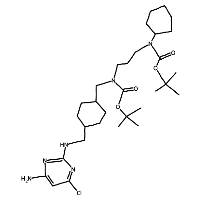 CC(C)(C)OC(=O)N(CCCN(C(=O)OC(C)(C)C)C1CCCCC1)CC1CCC(CNc2nc(N)cc(Cl)n2)CC1